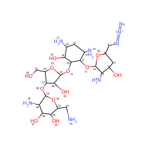 [N-]=[N+]=NCC1CC(O)C(N)C(OC2C(N)CC(N)C(O)C2OC2OC(CO)C(OC3OC(CN)C(O)C(O)C3N)C2O)O1